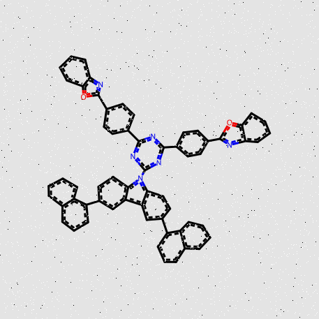 c1ccc2c(-c3ccc4c(c3)c3cc(-c5cccc6ccccc56)ccc3n4-c3nc(-c4ccc(-c5nc6ccccc6o5)cc4)nc(-c4ccc(-c5nc6ccccc6o5)cc4)n3)cccc2c1